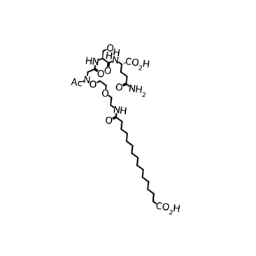 CC(=O)N(CC(=O)N[C@@H](CO)C(=O)N[C@@H](CCC(N)=O)C(=O)O)OCCOCCNC(=O)CCCCCCCCCCCCCCC(=O)O